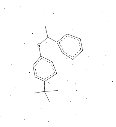 CC(Sc1ccc(C(C)(C)C)cc1)c1ccccc1